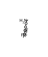 CCC(N)C1CCC(C2CCC(c3ccc(-c4cc(F)c(F)c(F)c4)c(F)c3F)CC2)CC1